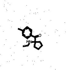 CCNC1(C(=O)c2ccc(C)cc2)CCCC1